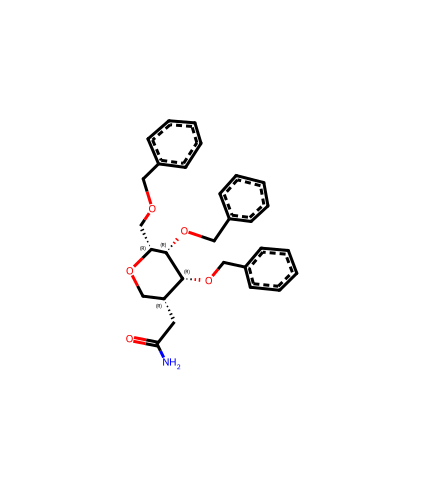 NC(=O)C[C@@H]1CO[C@H](COCc2ccccc2)[C@H](OCc2ccccc2)[C@@H]1OCc1ccccc1